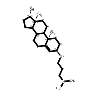 CN(C)CCCO[C@H]1C=C2CCC3C(CC[C@@]4(C)C3CC[C@@H]4O)[C@@]2(C)CC1